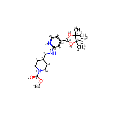 CC(C)(C)OC(=O)N1CCC(CNc2cc(B3OC(C)(C)C(C)(C)O3)ccn2)CC1